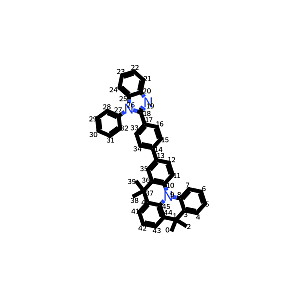 CC1(C)c2ccccc2N2c3ccc(-c4ccc(-c5nc6ccccc6n5-c5ccccc5)cc4)cc3C(C)(C)c3cccc1c32